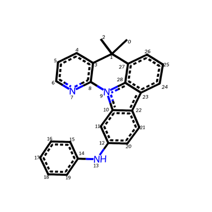 CC1(C)c2cccnc2-n2c3cc(Nc4ccccc4)ccc3c3cccc1c32